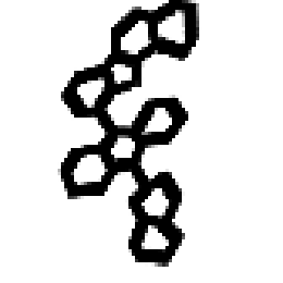 c1ccc2cc(-c3c4ccccc4c(-c4cccc5c4oc4c6ccccc6ccc54)c4ccccc34)ccc2c1